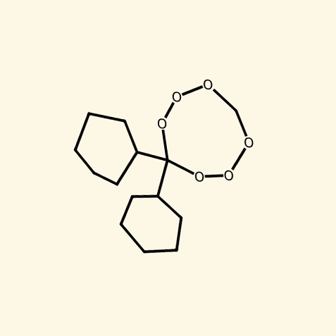 C1CCC(C2(C3CCCCC3)OOOCOOO2)CC1